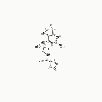 CCCC[C@](C)(CNC(=O)c1ccon1)Nc1nc(N)nc2cccnc12